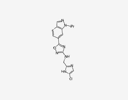 CC(C)n1ncc2ccc(-c3nc(NCc4ncc(Cl)[nH]4)no3)cc21